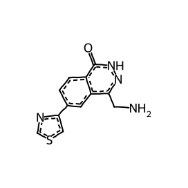 NCc1n[nH]c(=O)c2ccc(-c3cscn3)cc12